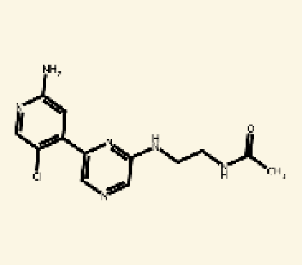 CC(=O)NCCNc1cncc(-c2cc(N)ncc2Cl)n1